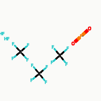 F.F.F[B-](F)(F)F.F[B-](F)(F)F.F[B-](F)(F)F.O=[P]=O